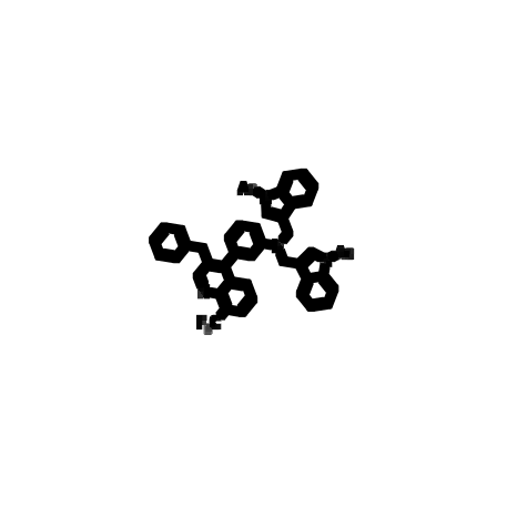 CC(=O)n1cc(CN(Cc2cn(C(C)=O)c3ccccc23)c2cccc(-c3c(Cc4ccccc4)cnc4c(C(F)(F)F)cccc34)c2)c2ccccc21